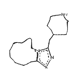 C1CCc2nnc(C3CCNCC3)n2CC1